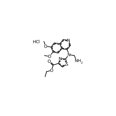 CCOC(=O)c1csc(N(CN)c2cncc3cc(OC)c(OC)cc23)n1.Cl